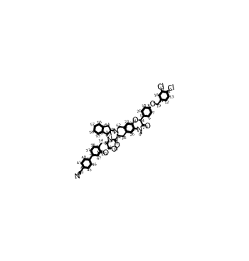 CN1C(=O)C(c2ccc(OCc3ccc(Cl)c(Cl)c3)cc2)Oc2cc3c(cc21)C[C@@H](C(=O)N[C@@H](Cc1ccc(-c2ccc(C#N)cc2)cc1)C(=O)O)N(C1Cc2ccccc2C1)C3